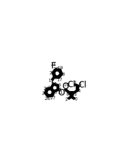 CC1(C)C(C=C(Cl)Cl)C1C(=O)O[C@@H]1C[C@@H](Cc2cccc(F)c2)c2ccccc21